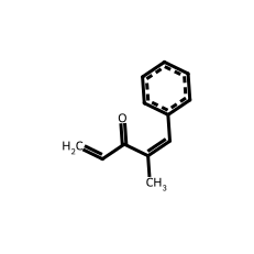 C=CC(=O)C(C)=Cc1ccccc1